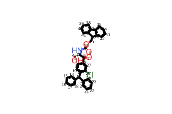 O=C(N[C@@H](CO)C(=O)c1ccc([C](c2ccccc2)c2ccccc2)c(Cl)c1)OCC1c2ccccc2-c2ccccc21